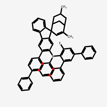 CC1=CC2(c3ccccc3-c3cc(-c4ccc(-c5ccccc5)cc4)c(N(c4ccccc4)c4c(F)cc(-c5ccccc5)cc4-c4ccccc4)cc32)C2CC(C)CC1C2